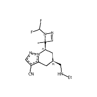 CCNC[C@H]1Cc2c(C#N)cnn2[C@@H](C2(C)C=NN2C(F)F)C1